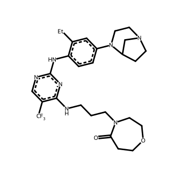 CCc1cc(N2CCN3CCC2C3)ccc1Nc1ncc(C(F)(F)F)c(NCCCN2CCOCCC2=O)n1